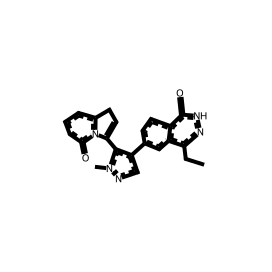 CCc1n[nH]c(=O)c2ccc(-c3cnn(C)c3C3=CCc4cccc(=O)n43)cc12